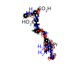 Cc1c(-c2ccc(N3CCc4c(OCC(=O)O)ccc(C(=O)Nc5nc6ccccc6s5)c4C3)nc2C(=O)O)cnn1CC12CC3(C)CC(C)(C1)CC(OCCN(C)C(=O)OCc1ccc(N(C(=O)[C@@H](NC(=O)CCCCCN4C(=O)C=CC4=O)C(C)C)[C@@H](CCCNC(N)=O)C(N)=O)cc1)(C3)C2